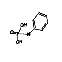 O=P(O)(O)[N]c1ccccc1